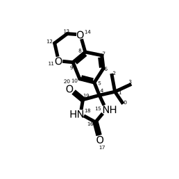 CC(C)(C)C1(c2ccc3c(c2)OCCO3)NC(=O)NC1=O